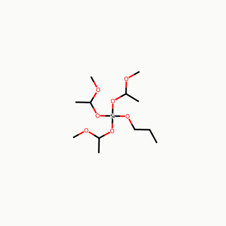 CCCO[Si](OC(C)OC)(OC(C)OC)OC(C)OC